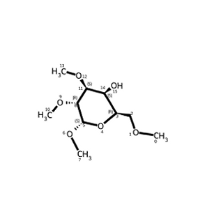 COC[C@H]1O[C@H](OC)[C@H](OC)[C@@H](OC)[C@H]1O